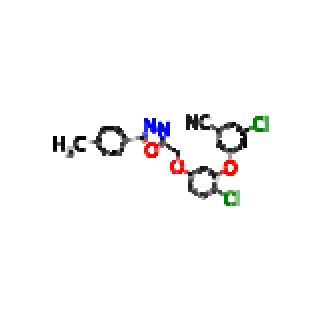 Cc1ccc(-c2nnc(COc3ccc(Cl)c(Oc4cc(Cl)cc(C#N)c4)c3)o2)cc1